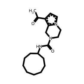 CC(=O)c1ccn2c1CN(C(=O)NC1CCCCCCCC1)CC2